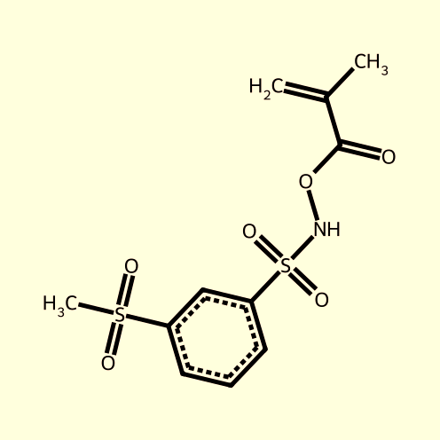 C=C(C)C(=O)ONS(=O)(=O)c1cccc(S(C)(=O)=O)c1